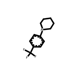 FC(F)(F)c1cc[c]([Al]2[CH2]CCC[CH2]2)cc1